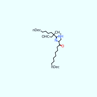 CCCCCCCCCCCCCCCCCC(=O)C1CNC(C(C)(CC=O)CCCCCCCCCCCCCC)=N1